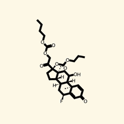 CCCCOC(=O)OCC(=O)[C@@]1(OC(=O)OCCC)CC[C@H]2[C@@H]3C[C@H](F)C4=CC(=O)C=C[C@]4(C)[C@H]3C(O)C[C@@]21C